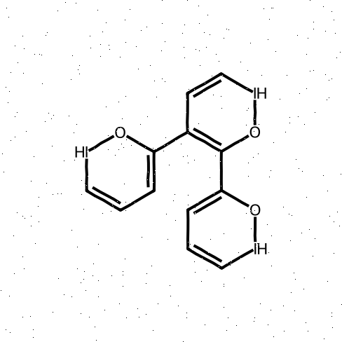 C1=C[IH]OC(C2=C(C3=CC=C[IH]O3)O[IH]C=C2)=C1